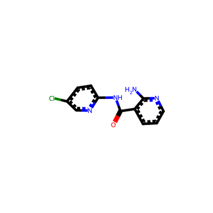 Nc1ncccc1C(=O)Nc1ccc(Cl)cn1